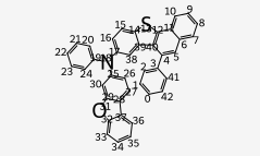 c1ccc(-c2cc3ccccc3c3sc4ccc(N(c5ccccc5)c5ccc6c(c5)oc5ccccc56)cc4c23)cc1